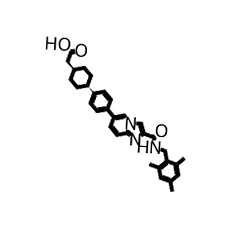 Cc1cc(C)c(CNC(=O)c2cn3cc(-c4ccc([C@H]5CC[C@H](CC(=O)O)CC5)cc4)ccc3n2)c(C)c1